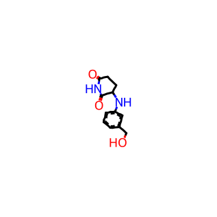 O=C1CCC(Nc2cccc(CO)c2)C(=O)N1